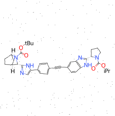 CC(C)OC(=O)N1CCC[C@H]1c1nc2cc(C#Cc3ccc(-c4cnc([C@@H]5[C@H]6CC[C@H](C6)N5C(=O)OC(C)(C)C)[nH]4)cc3)ccc2[nH]1